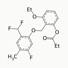 CCOc1cccc(OC(=O)CC)c1COc1cc(F)c(C)cc1C(F)F